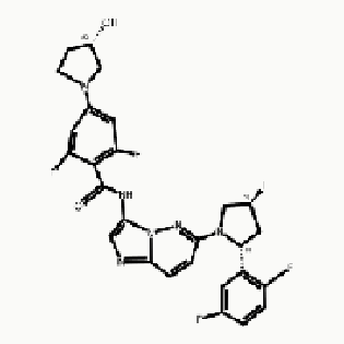 O=C(Nc1cnc2ccc(N3C[C@@H](F)C[C@@H]3c3cc(F)ccc3F)nn12)c1c(F)cc(N2CC[C@H](O)C2)cc1F